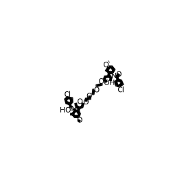 COC1=CC(C)C2C(=C1)C(CC(=O)OCCOCCOCCOC(O)Cc1c(C)n(C(=O)c3ccc(Cl)cc3)c3ccc(OC)cc13)=C(C)N2C(O)c1ccc(Cl)cc1